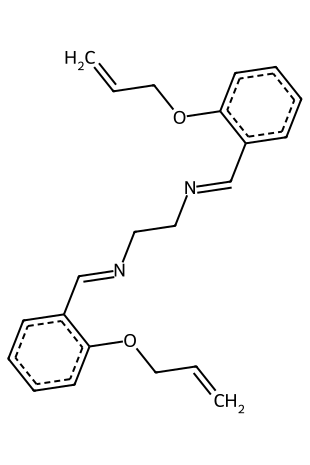 C=CCOc1ccccc1C=NCCN=Cc1ccccc1OCC=C